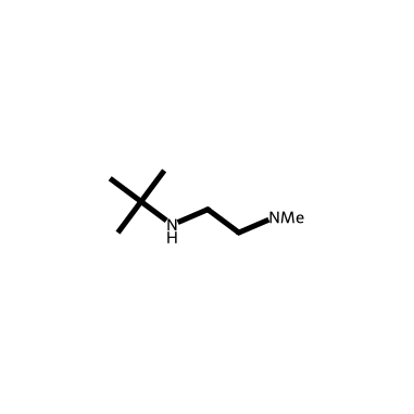 CNCCNC(C)(C)C